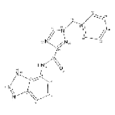 O=C(Nc1cccc2nn[nH]c12)c1ncn(Cc2ccccc2)n1